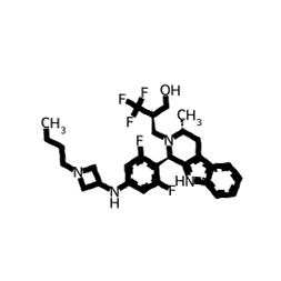 CCCCN1CC(Nc2cc(F)c([C@@H]3c4[nH]c5ccccc5c4C[C@@H](C)N3C[C@H](CO)C(F)(F)F)c(F)c2)C1